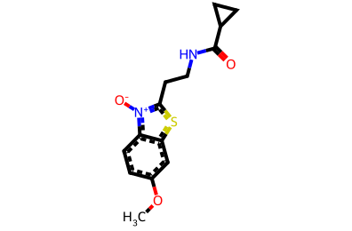 COc1ccc2c(c1)sc(CCNC(=O)C1CC1)[n+]2[O-]